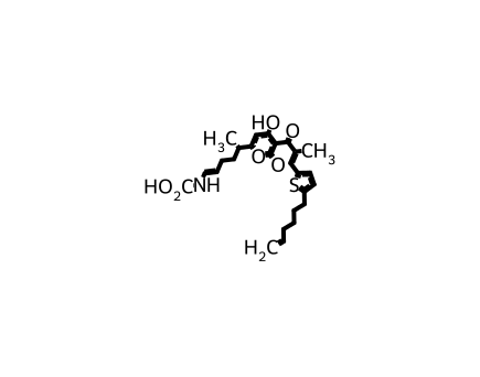 C=CCCCCc1ccc(C=C(C)C(=O)c2c(O)cc(C(C)CCC=CNC(=O)O)oc2=O)s1